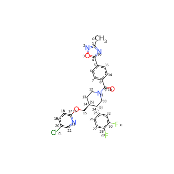 Cc1noc(-c2ccc(C(=O)N3CC[C@H](COc4ccc(Cl)cn4)[C@@H](c4ccc(F)c(F)c4)C3)cc2)n1